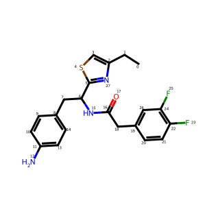 CCc1csc(C(Cc2ccc(N)cc2)NC(=O)Cc2ccc(F)c(F)c2)n1